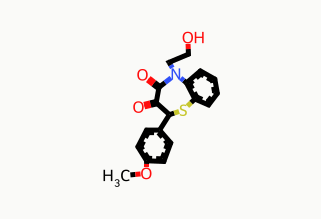 COc1ccc(C2Sc3ccccc3N(CCO)C(=O)C2=O)cc1